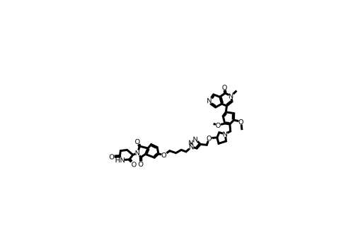 COc1cc(-c2cn(C)c(=O)c3cnccc23)cc(OC)c1CN1CCC(OCc2cn(CCCCOc3ccc4c(c3)C(=O)N(C3CCC(=O)NC3=O)C4=O)nn2)C1